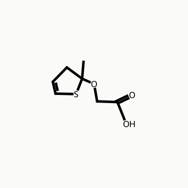 CC1(OCC(=O)O)CC=CS1